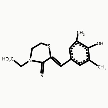 Cc1cc(C=C2SCCN(CC(=O)O)C2=S)cc(C)c1O